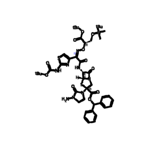 CC(C)(C)OC(=O)Nc1nc(/C(=N/O[C@@H](CO[Si](C)(C)C(C)(C)C)C(=O)OC(C)(C)C)C(=O)N[C@@H]2C(=O)N3C[C@@](C(=O)OC(c4ccccc4)c4ccccc4)(N4CCN(N)C4=O)S[C@H]23)cs1